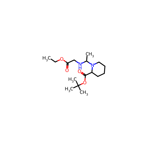 CCOC(=O)CNC(C)N1CCCCC1C(=O)OC(C)(C)C